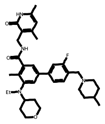 CCN(c1cc(-c2ccc(CN3CCC(C)CC3)c(F)c2)cc(C(=O)NCc2c(C)cc(C)[nH]c2=O)c1C)C1CCOCC1